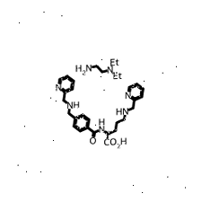 CCN(CC)CCN.O=C(N[C@@H](CCCNCc1ccccn1)C(=O)O)c1ccc(CNCc2ccccn2)cc1